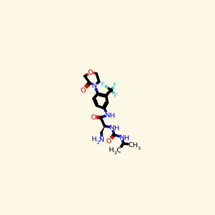 CC(C)NC(=O)N[C@@H](CN)C(=O)Nc1ccc(N2CCOCC2=O)c(C(F)(F)F)c1